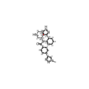 Cn1cc(-c2ccc(C(=O)N(c3ncccc3-c3cc[nH]n3)[C@@H]3CCCNC3)cc2)nn1